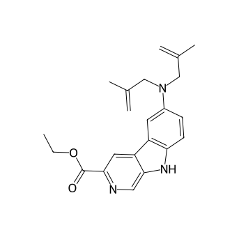 C=C(C)CN(CC(=C)C)c1ccc2[nH]c3cnc(C(=O)OCC)cc3c2c1